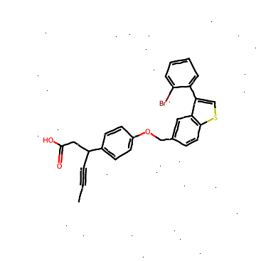 CC#CC(CC(=O)O)c1ccc(OCc2ccc3scc(-c4ccccc4Br)c3c2)cc1